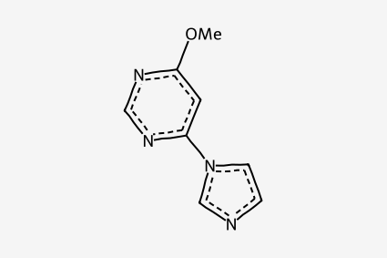 COc1cc(-n2ccnc2)ncn1